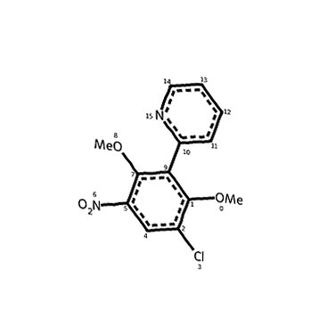 COc1c(Cl)cc([N+](=O)[O-])c(OC)c1-c1ccccn1